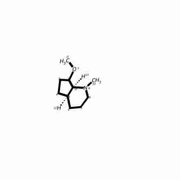 COC1CC[C@@H]2CCCN(C)[C@H]12